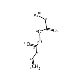 C=CCC(=O)OOC(=O)CC(C)=O